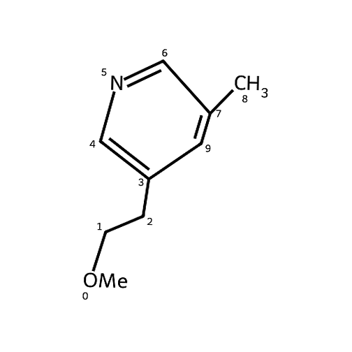 COCCc1cncc(C)c1